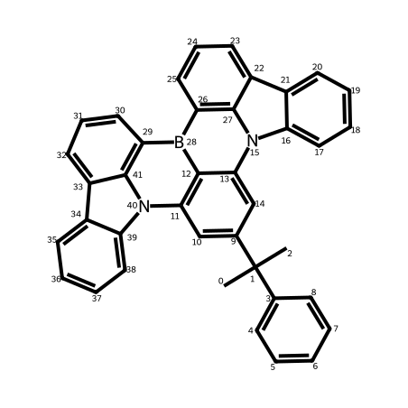 CC(C)(c1ccccc1)c1cc2c3c(c1)-n1c4ccccc4c4cccc(c41)B3c1cccc3c4ccccc4n-2c13